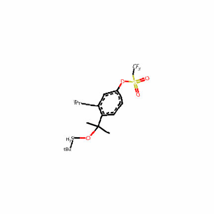 CC(C)c1cc(OS(=O)(=O)C(F)(F)F)ccc1C(C)(C)O[SiH2]C(C)(C)C